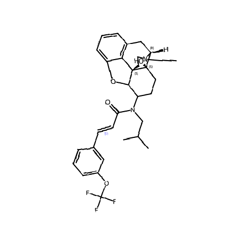 CC(C)CN(C(=O)/C=C/c1cccc(OC(F)(F)F)c1)C1CC[C@@]2(O)[C@H]3Cc4cccc5c4[C@@]2(CCN3C)C1O5